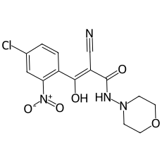 N#CC(C(=O)NN1CCOCC1)=C(O)c1ccc(Cl)cc1[N+](=O)[O-]